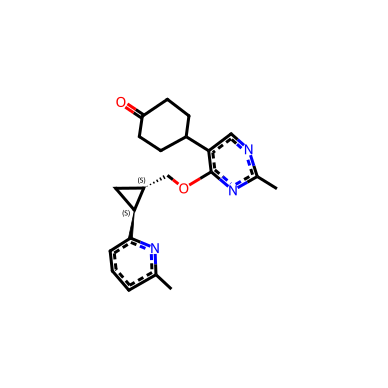 Cc1cccc([C@H]2C[C@@H]2COc2nc(C)ncc2C2CCC(=O)CC2)n1